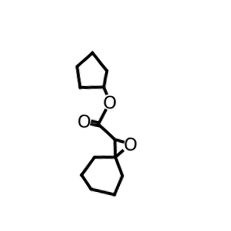 O=C(OC1CCCC1)C1OC12CCCCC2